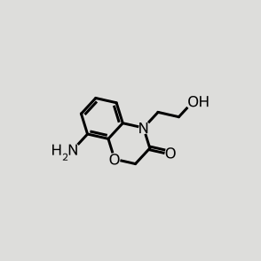 Nc1cccc2c1OCC(=O)N2CCO